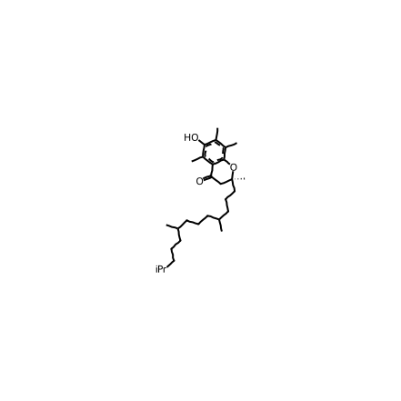 Cc1c(C)c2c(c(C)c1O)C(=O)C[C@](C)(CCCC(C)CCCC(C)CCCC(C)C)O2